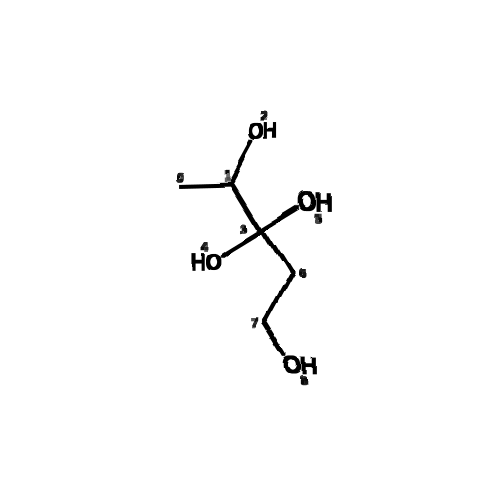 CC(O)C(O)(O)CCO